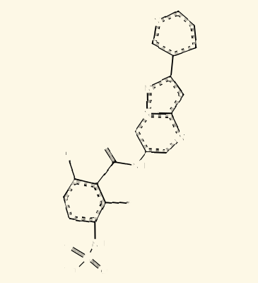 CCCS(=O)(=O)Nc1ccc(F)c(C(=O)Nc2cnc3cc(-c4cccnc4)nn3c2)c1F